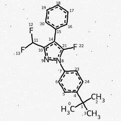 CC(C)(C)c1ccc(-n2nc(C(F)F)c(-c3ccccc3)c2F)cc1